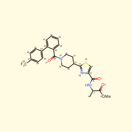 COC(=O)C(C)NC(=O)c1csc(C2CCN(C(=O)c3ccccc3-c3ccc(C(F)(F)F)cc3)CC2)n1